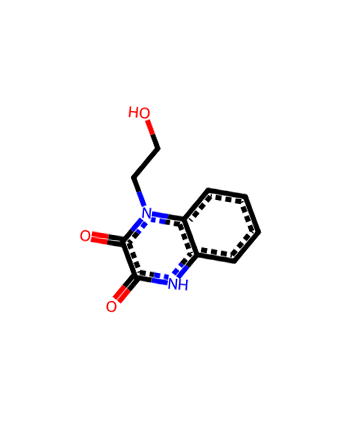 O=c1[nH]c2ccccc2n(CCO)c1=O